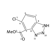 COC(=O)c1c(Cl)ccc2[nH]nnc12